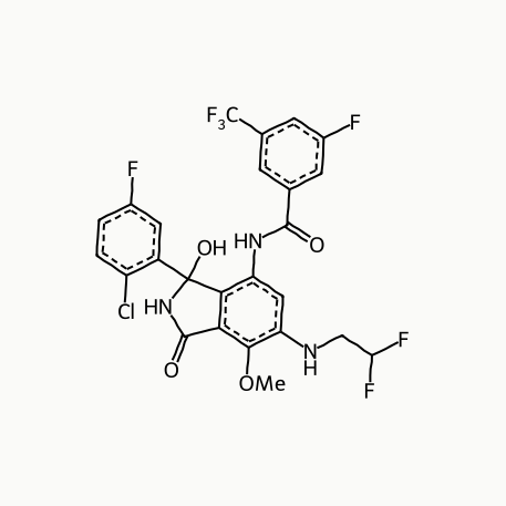 COc1c(NCC(F)F)cc(NC(=O)c2cc(F)cc(C(F)(F)F)c2)c2c1C(=O)NC2(O)c1cc(F)ccc1Cl